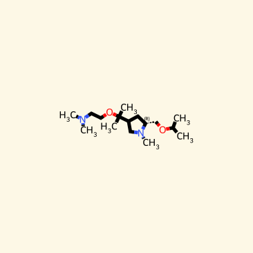 CC(C)OC[C@H]1CC(C(C)(C)OCCN(C)C)CN1C